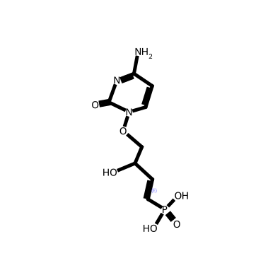 Nc1ccn(OCC(O)/C=C/P(=O)(O)O)c(=O)n1